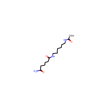 COC(=O)NCCCCCCNC(=O)CCCCC(N)=O